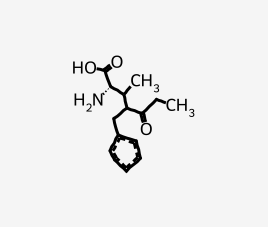 CCC(=O)C(Cc1ccccc1)C(C)[C@H](N)C(=O)O